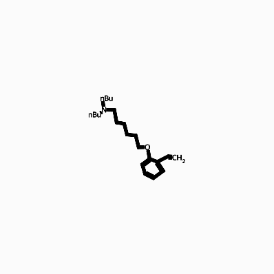 C=Cc1ccccc1OCCCCCCN(CCCC)CCCC